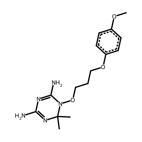 COc1ccc(OCCCON2C(N)=NC(N)=NC2(C)C)cc1